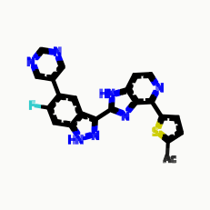 CC(=O)c1ccc(-c2nccc3[nH]c(-c4n[nH]c5cc(F)c(-c6cncnc6)cc45)nc23)s1